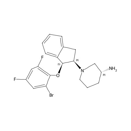 N[C@@H]1CCCN([C@@H]2Cc3ccccc3[C@@H]2Oc2c(F)cc(F)cc2Br)C1